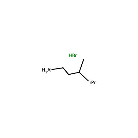 Br.CCCC(C)C[CH2][AlH2]